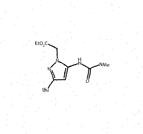 CCOC(=O)Cn1nc(C(C)(C)C)cc1NC(=O)NC